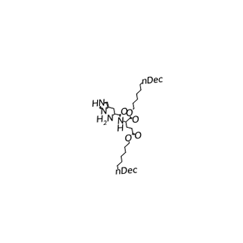 CCCCCCCCCCCCCCCCOC(=O)CCC(NC(=O)C(N)Cc1c[nH]cn1)C(=O)OCCCCCCCCCCCCCCCC